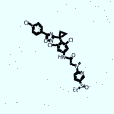 CC[S+]([O-])c1ccc(N(C)CC(=O)Nc2cc(Cl)c(C3(c4noc(-c5ccc(Cl)cc5)n4)CC3)c(Cl)c2)nc1